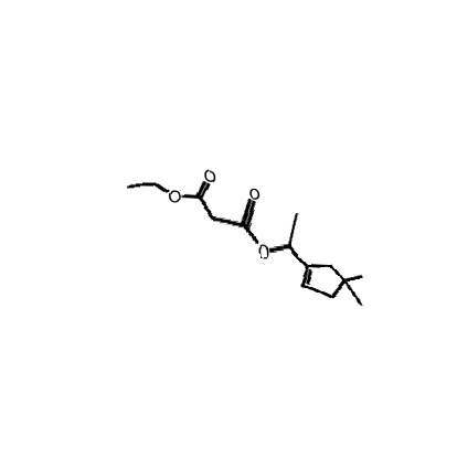 CCOC(=O)CC(=O)OC(C)C1=CCC(C)(C)C1